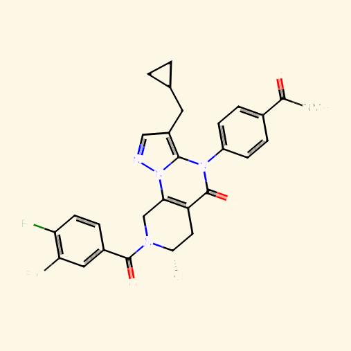 CNC(=O)c1ccc(-n2c(=O)c3c(n4ncc(CC5CC5)c24)CN(C(=O)c2ccc(Br)c(C(F)(F)F)c2)[C@@H](C)C3)cc1